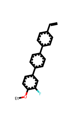 C=Cc1ccc(-c2ccc(-c3ccc(OCC)c(F)c3)cc2)cc1